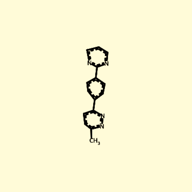 Cc1ccc(-c2ccc(-c3ncccn3)cc2)nn1